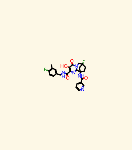 Cc1cc(CNC(=O)c2nc3n(c(=O)c2O)CC2(F)CCC3(NC(=O)c3cccnc3)CC2)ccc1F